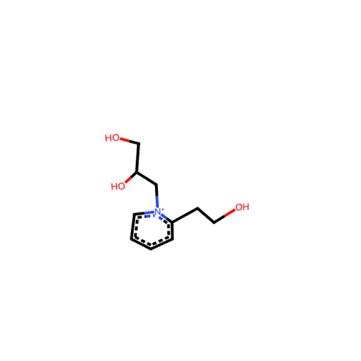 OCCc1cccc[n+]1CC(O)CO